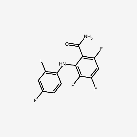 NC(=O)c1c(F)cc(F)c(F)c1Nc1ccc(F)cc1I